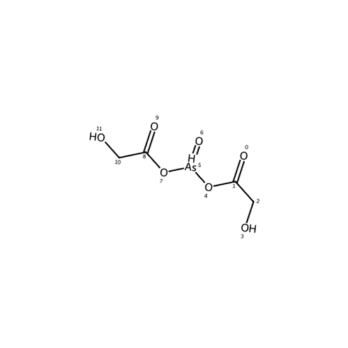 O=C(CO)O[AsH](=O)OC(=O)CO